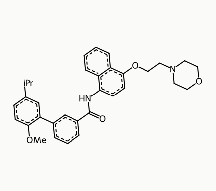 COc1ccc(C(C)C)cc1-c1cccc(C(=O)Nc2ccc(OCCN3CCOCC3)c3ccccc23)c1